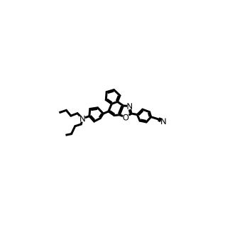 CCCCN(CCCC)c1ccc(-c2cc3oc(-c4ccc(C#N)cc4)nc3c3ccccc23)cc1